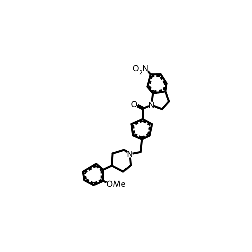 COc1ccccc1C1CCN(Cc2ccc(C(=O)N3CCc4ccc([N+](=O)[O-])cc43)cc2)CC1